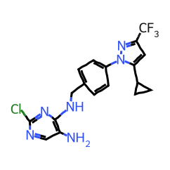 Nc1cnc(Cl)nc1NCc1ccc(-n2nc(C(F)(F)F)cc2C2CC2)cc1